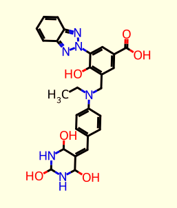 CCN(Cc1cc(C(=O)O)cc(-n2nc3ccccc3n2)c1O)c1ccc(C=C2C(O)NC(O)NC2O)cc1